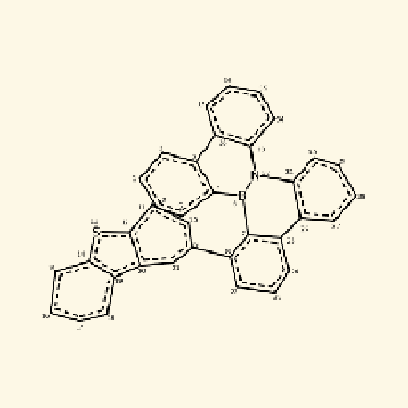 c1ccc2c(c1)B1c3c(-c4ccc5sc6ccccc6c5c4)cccc3-c3ccccc3N1c1ccccc1-2